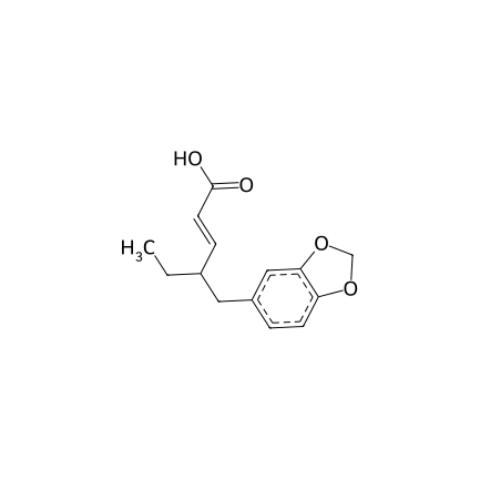 CCC(C=CC(=O)O)Cc1ccc2c(c1)OCO2